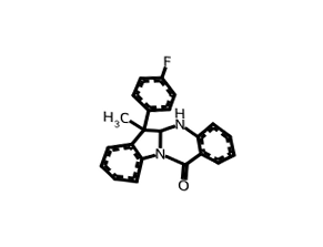 CC1(c2ccc(F)cc2)c2ccccc2N2C(=O)c3ccccc3NC21